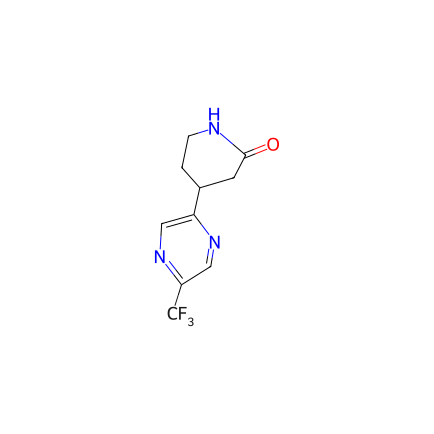 O=C1CC(c2cnc(C(F)(F)F)cn2)CCN1